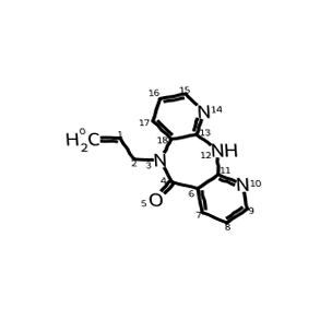 C=CCN1C(=O)c2cccnc2Nc2ncccc21